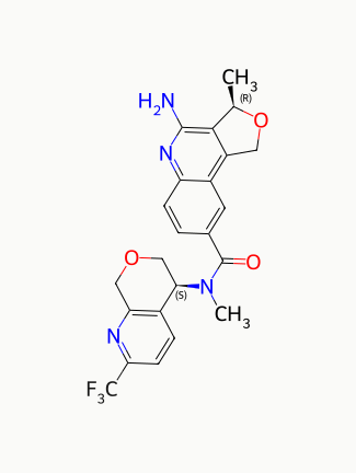 C[C@H]1OCc2c1c(N)nc1ccc(C(=O)N(C)[C@@H]3COCc4nc(C(F)(F)F)ccc43)cc21